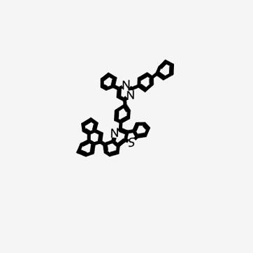 c1ccc(-c2ccc(-c3nc(-c4ccccc4)cc(-c4ccc(-c5nc6c(-c7cc8ccccc8c8ccccc78)cccc6c6sc7ccccc7c56)cc4)n3)cc2)cc1